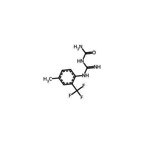 Cc1ccc(NC(=N)NC(N)=O)c(C(F)(F)F)c1